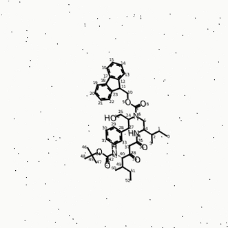 CCC(C)C(CN(C(=O)OCC1c2ccccc2-c2ccccc21)C(CO)Cc1ccccc1)NC(=O)CC(=O)[C@@H](NC(=O)OC(C)(C)C)C(C)CC